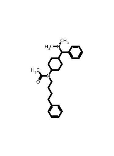 CC(=O)N(CCCCc1ccccc1)C1CCC(C(c2ccccc2)N(C)C)CC1